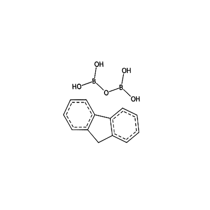 OB(O)OB(O)O.c1ccc2c(c1)Cc1ccccc1-2